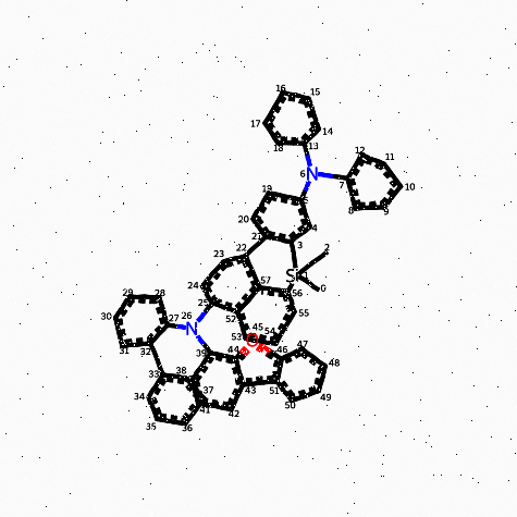 C[Si]1(C)c2cc(N(c3ccccc3)c3ccccc3)ccc2-c2ccc(N(c3ccccc3-c3ccccc3)c3cccc4c3oc3ccccc34)c3cccc1c23